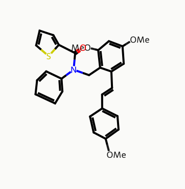 COc1ccc(C=Cc2cc(OC)cc(OC)c2CN(C(=O)c2cccs2)c2ccccc2)cc1